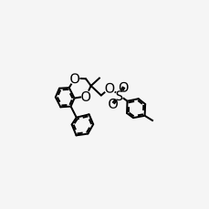 Cc1ccc(S(=O)(=O)OCC2(C)COc3cccc(-c4ccccc4)c3O2)cc1